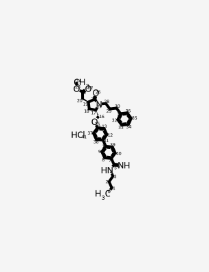 CCCCNC(=N)c1ccc(-c2ccc(OC[C@@H]3C[C@@H](CC(=O)OC)C(=O)N3CCCc3ccccc3)cc2)cc1.Cl